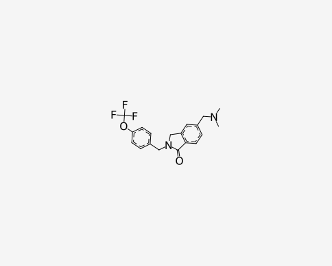 CN(C)Cc1ccc2c(c1)CN(Cc1ccc(OC(F)(F)F)cc1)C2=O